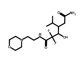 CC(C)C(CC(N)=O)C(O)C(F)(F)C(=O)NCCN1CCOCC1